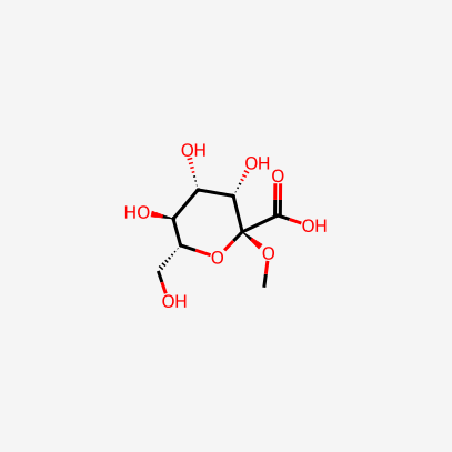 CO[C@@]1(C(=O)O)O[C@H](CO)[C@@H](O)[C@H](O)[C@@H]1O